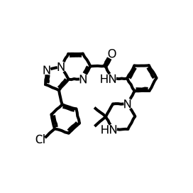 CC1(C)CN(c2ccccc2NC(=O)c2ccn3ncc(-c4cccc(Cl)c4)c3n2)CCN1